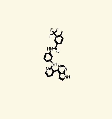 Cc1ccc(C(=O)Nc2cccc(Nc3ncccc3-c3ncnc4[nH]ccc34)c2)cc1C(F)(F)F